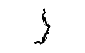 Cc1c(C)c2c(c(C)c1OC(=O)CCC(=O)OCC1CCCN(CCSSCCN3CCCC(COC(=O)CCC(=O)Oc4c(C)c(C)c5c(c4C)CCC(C)(CCCC(C)CCCC(C)CCCC(C)C)O5)C3)C1)CCC(C)(CCCC(C)CCCC(C)CCCC(C)C)O2